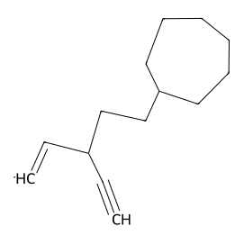 [CH]=CC(C#C)CCC1CCCCCC1